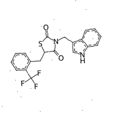 O=C1SC(Cc2ccccc2C(F)(F)F)C(=O)N1Cc1c[nH]c2ccccc12